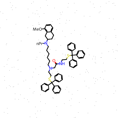 CCCN(CCCCCCN(CCSC(c1ccccc1)(c1ccccc1)c1ccccc1)CC(=O)NCCSC(c1ccccc1)(c1ccccc1)c1ccccc1)C1CCc2cccc(OC)c2C1